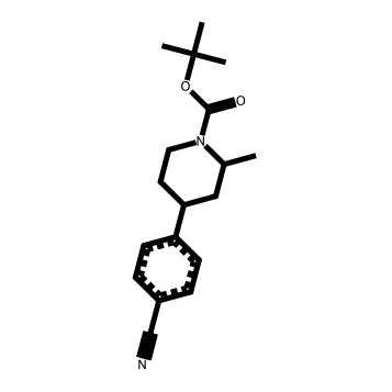 CC1CC(c2ccc(C#N)cc2)CCN1C(=O)OC(C)(C)C